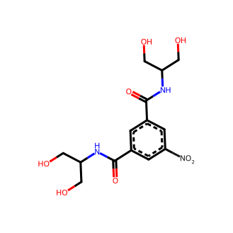 O=C(NC(CO)CO)c1cc(C(=O)NC(CO)CO)cc([N+](=O)[O-])c1